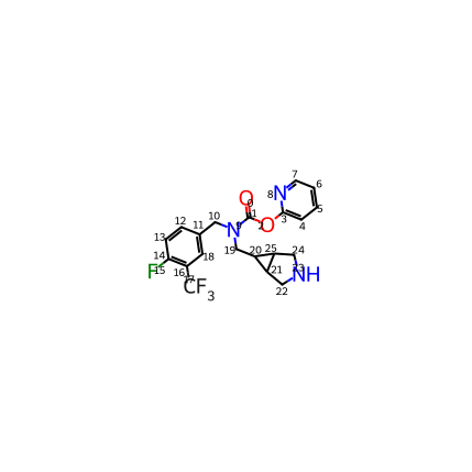 O=C(Oc1ccccn1)N(Cc1ccc(F)c(C(F)(F)F)c1)CC1C2CNCC21